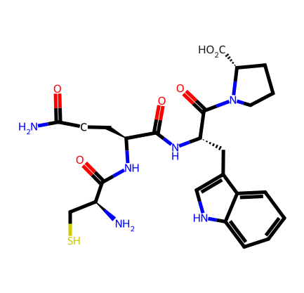 NC(=O)CC[C@H](NC(=O)[C@@H](N)CS)C(=O)N[C@@H](Cc1c[nH]c2ccccc12)C(=O)N1CCC[C@H]1C(=O)O